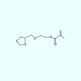 C=C(C)C(=O)SCCSCC1CSCS1